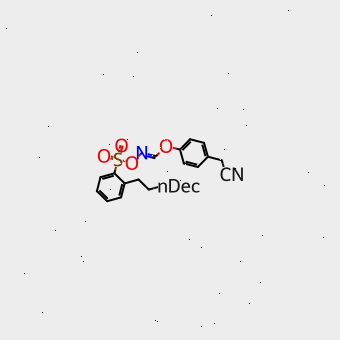 CCCCCCCCCCCCc1ccccc1S(=O)(=O)ON=COc1ccc(CC#N)cc1